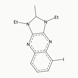 CCN1c2nc3cccc(I)c3nc2N(CC)C1C